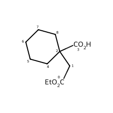 CCOC(=O)CC1(C(=O)O)CCCCC1